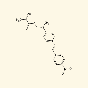 C=C(C)C(=O)OCN(C)c1ccc(/C=C/c2ccc([N+](=O)[O-])cc2)cc1